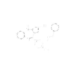 Cc1cc2c(s1)Nc1ccccc1N=C2N1CCN(C)[C@@H](COCc2ccccc2)C1